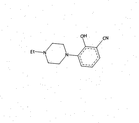 CCN1CCN(c2cccc(C#N)c2O)CC1